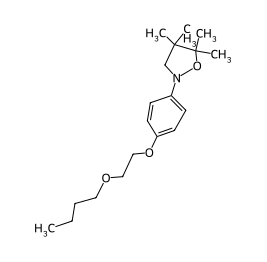 CCCCOCCOc1ccc(N2CC(C)(C)C(C)(C)O2)cc1